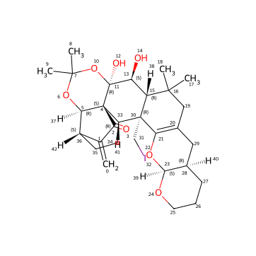 C=C1C(=O)[C@@]23[C@@H]4OC(C)(C)O[C@@]2(O)[C@@H](O)[C@@H]2C(C)(C)CC5=C(O[C@@H]6OCCC[C@@H]6C5)[C@@]2(CI)[C@@H]3CC[C@@H]14